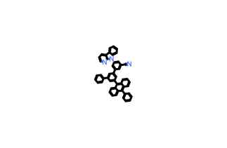 N#Cc1cc(-c2cc(-c3ccccc3)cc(-c3c4ccccc4c(-c4ccccc4)c4ccccc34)c2)cc(-n2c3ccccc3c3cccnc32)c1